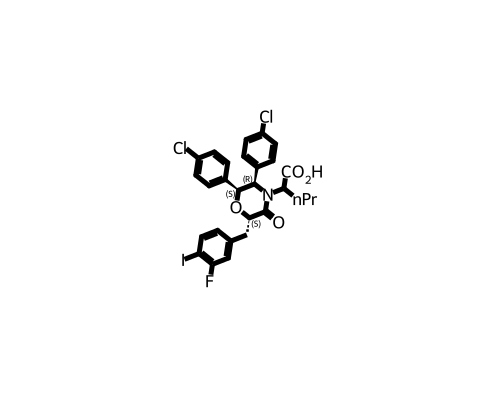 CCCC(C(=O)O)N1C(=O)[C@H](Cc2ccc(I)c(F)c2)O[C@@H](c2ccc(Cl)cc2)[C@H]1c1ccc(Cl)cc1